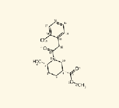 COC(=O)[C@@H]1CC[C@H](C)N(C(=O)Cc2ccccc2Cl)C1